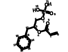 C=CC(=O)OC(COP(=O)(O)O)Cc1ccccc1